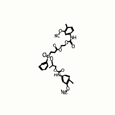 Cc1ccc(NC(=O)OCCOC(=O)CCP(=O)(OC(C)COC(=O)Nc2ccc(C)c(OC#N)c2)c2ccccc2)cc1OC#N